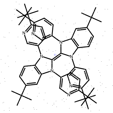 CC(C)(C)c1ccc2c(c1)N(c1ccc(C(C)(C)C)nc1)/C(=C1\N(c3ccc(C(C)(C)C)nc3)c3ccc(C(C)(C)C)cc3N1c1ccc(C(C)(C)C)nc1)N2c1ccc(C(C)(C)C)nc1